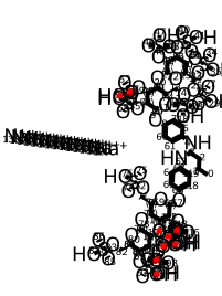 CCCC(Nc1ccc(O[C@@H]2O[C@H](COS(=O)(=O)O)[C@@H](O[C@H]3O[C@H](COS(=O)(=O)O)[C@@H](OS(=O)(=O)O)[C@H](OS(=O)(=O)O)[C@H]3OS(=O)(=O)O)[C@H](OS(=O)(=O)O)[C@H]2OS(=O)(=O)O)cc1)Nc1ccc(O[C@@H]2O[C@H](COS(=O)(=O)O)[C@@H](O[C@H]3O[C@H](COS(=O)(=O)O)[C@@H](OS(=O)(=O)O)[C@H](OS(=O)(=O)O)[C@H]3OS(=O)(=O)O)[C@H](OS(=O)(=O)O)[C@H]2OS(=O)(=O)O)cc1.[Na+].[Na+].[Na+].[Na+].[Na+].[Na+].[Na+].[Na+].[Na+].[Na+].[Na+].[Na+].[Na+].[Na+]